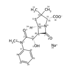 CN(C(=O)[C@@H](O)[C@@H]1C(=O)N2[C@@H]1SC(C)(C)[C@@H]2C(=O)[O-])c1ccccc1.[Na+]